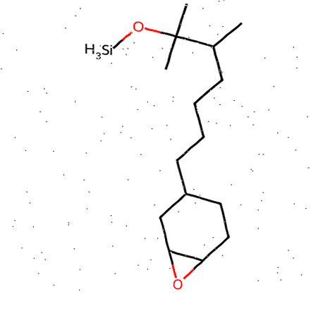 CC(CCCCC1CCC2OC2C1)C(C)(C)O[SiH3]